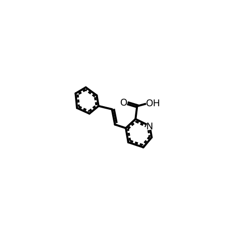 O=C(O)c1ncccc1C=Cc1ccccc1